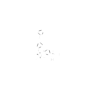 CCC(Cc1ccc(OCc2ccccc2)cc1)(Oc1ccc(C(C)(C)C)cc1)C(=O)OC